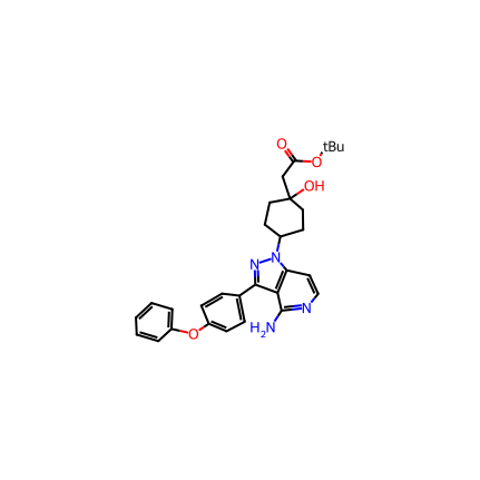 CC(C)(C)OC(=O)CC1(O)CCC(n2nc(-c3ccc(Oc4ccccc4)cc3)c3c(N)nccc32)CC1